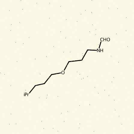 CC(C)CCCOCCCNC=O